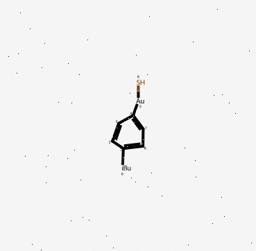 CCC(C)c1cc[c]([Au][SH])cc1